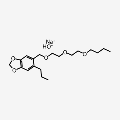 CCCCOCCOCCOCc1cc2c(cc1CCC)OCO2.[Na+].[OH-]